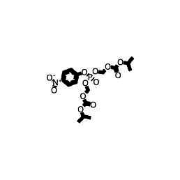 CC(C)OC(=O)OCOP(=O)(OCOC(=O)OC(C)C)Oc1ccc([N+](=O)[O-])cc1